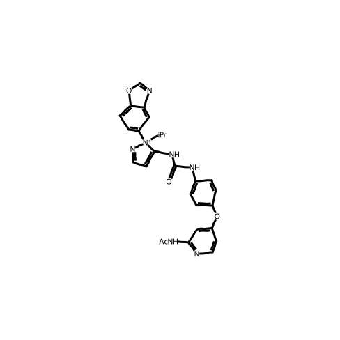 CC(=O)Nc1cc(Oc2ccc(NC(=O)NC3=CC=N[N+]3(c3ccc4ocnc4c3)C(C)C)cc2)ccn1